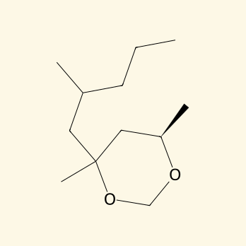 CCCC(C)CC1(C)C[C@@H](C)OCO1